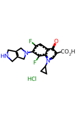 Cl.O=C(O)c1cn(C2CC2)c2c(F)c(N3CC4=C(CNC4)C3)c(F)cc2c1=O